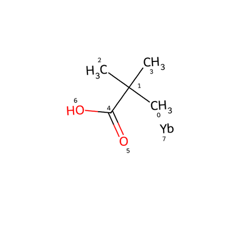 CC(C)(C)C(=O)O.[Yb]